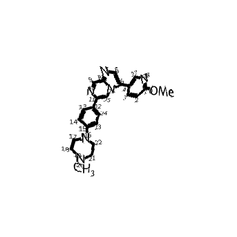 COc1ccc(-c2cnc3cnc(-c4ccc(N5CCN(C)CC5)cc4)cn23)cn1